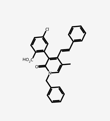 Cc1cn(Cc2ccccc2)c(=O)c(-c2cc(Cl)ccc2C(=O)O)c1/C=C/c1ccccc1